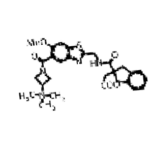 COc1cc2sc(CNC(=O)C3(CC(=O)[O-])Cc4ccccc4C3)nc2cc1C(=O)N1CC([N+](C)(C)C)C1